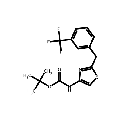 CC(C)(C)OC(=O)Nc1csc(Cc2cccc(C(F)(F)F)c2)n1